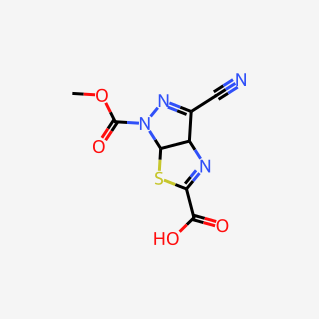 COC(=O)N1N=C(C#N)C2N=C(C(=O)O)SC21